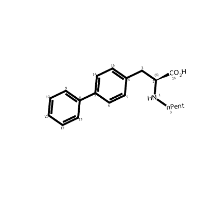 CCCCCN[C@@H](Cc1ccc(-c2ccccc2)cc1)C(=O)O